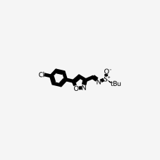 CC(C)(C)[S@@+]([O-])/N=C/c1cc(-c2ccc(Cl)cc2)on1